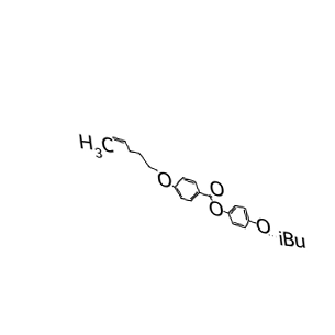 C/C=C\CCCCOc1ccc(C(=O)Oc2ccc(OC[C@@H](C)CC)cc2)cc1